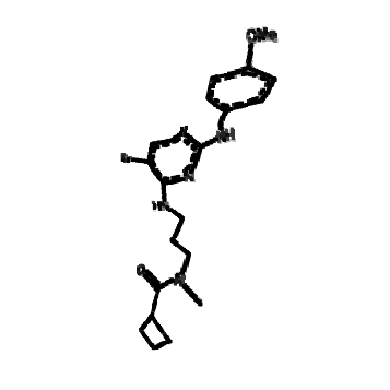 COc1ccc(Nc2ncc(Br)c(NCCCN(C)C(=O)C3CCC3)n2)cc1